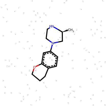 C[C@H]1CN(c2ccc3c(c2)OCCC3)CCN1